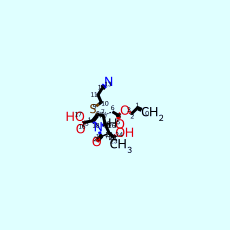 C=CCOC(=O)C[C@H]1C(SCCC#N)=C(C(=O)O)N2C(=O)[C@H]([C@@H](C)O)[C@@H]12